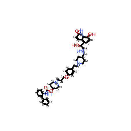 O=C(Nc1ccccc1-c1ccccc1)OC1CCN(CCCOc2ccc(CCN3CCC(CNC[C@@H](O)c4ccc(O)c5[nH]c(=O)ccc45)CC3)cc2)CC1